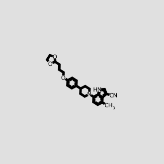 Cc1ccc(N2CCC(c3ccc(OCCCC4OCCO4)cc3)CC2)c2[nH]cc(C#N)c12